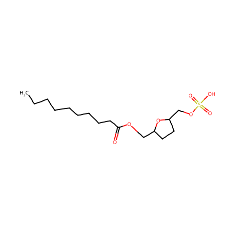 CCCCCCCCCC(=O)OCC1CCC(COS(=O)(=O)O)O1